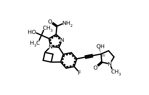 CN1CC[C@](O)(C#Cc2cc3c(cc2F)C2CC(C2)n2c-3nc(C(N)=O)c2C(C)(C)O)C1=O